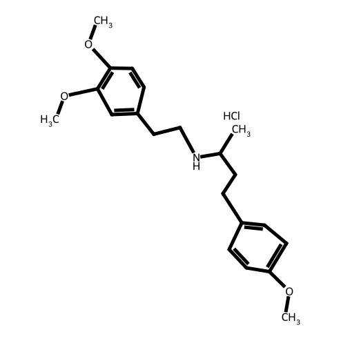 COc1ccc(CCC(C)NCCc2ccc(OC)c(OC)c2)cc1.Cl